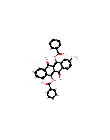 Cc1ccc2c(c1)C(OC(=O)c1ccccc1)=C1C(=O)c3ccccc3C(OC(=O)c3ccccc3)=C1C2=O